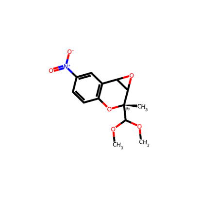 COC(OC)[C@]1(C)Oc2ccc([N+](=O)[O-])cc2C2OC21